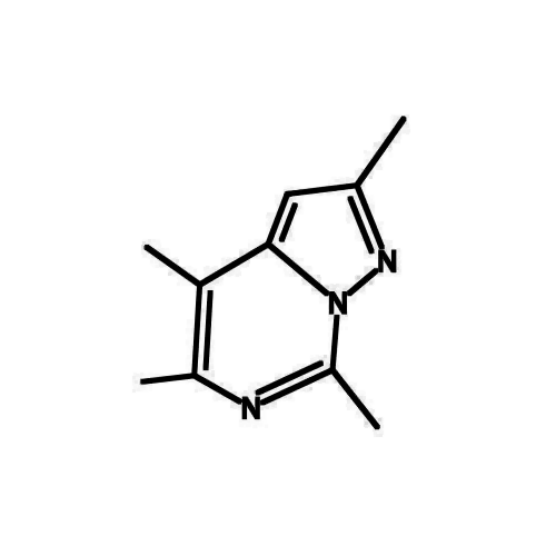 Cc1cc2c(C)c(C)nc(C)n2n1